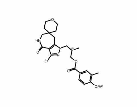 CCc1nn(C[C@@H](C)COC(=O)c2ccc(OC)c(C)c2)c2c1C(=O)NCC1(CCOCC1)C2